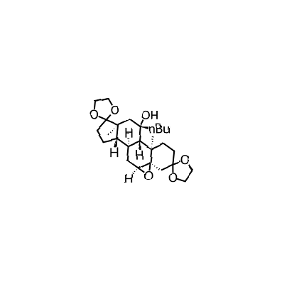 CCCC[C@]1(O)C[C@@]2(C)[C@@H](CCC23OCCO3)[C@@H]2C[C@@H]3O[C@@]34CC3(CC[C@]4(C)[C@H]21)OCCO3